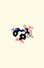 CC(=O)C1=C(O)C(=O)N(CCc2c[nH]c3ccccc23)C1c1ccc(C(=O)O)cc1